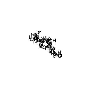 CC(C)CNc1nc2c(ncn2[C@@H]2O[C@@H]3COP(=O)(O)O[C@@H]4[C@@H](COP(C)(=S)O[C@@H]2[C@@H]3C)C[C@@H](n2ccc3c(NC(=O)c5ccccc5)ncnc32)[C@@H]4C)c(=O)[nH]1